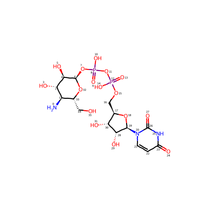 N[C@H]1[C@H](O)[C@@H](O)[C@@H](OP(=O)(O)OP(=O)(O)OC[C@H]2O[C@@H](n3ccc(=O)[nH]c3=O)[C@H](O)[C@@H]2O)O[C@@H]1CO